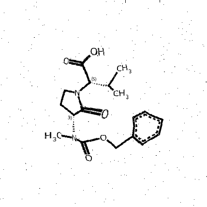 CC(C)[C@@H](C(=O)O)N1CC[C@@H](N(C)C(=O)OCc2ccccc2)C1=O